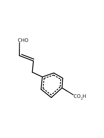 O=CC=CCc1ccc(C(=O)O)cc1